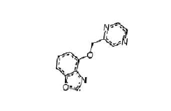 [c]1nc2c(OCc3cnccn3)cccc2o1